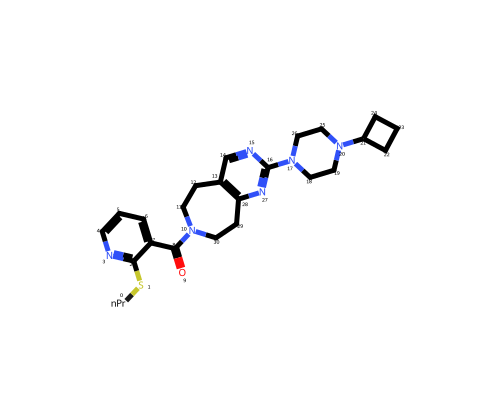 CCCSc1ncccc1C(=O)N1CCc2cnc(N3CCN(C4CCC4)CC3)nc2CC1